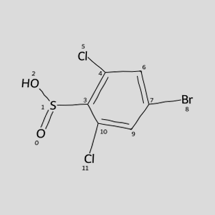 O=S(O)c1c(Cl)cc(Br)cc1Cl